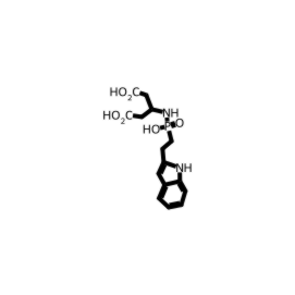 O=C(O)CC(CC(=O)O)NP(=O)(O)CCc1cc2ccccc2[nH]1